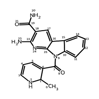 CC1NC=CC=C1C(=O)n1c2ccccc2c2cc(C(N)=O)c(N)nc21